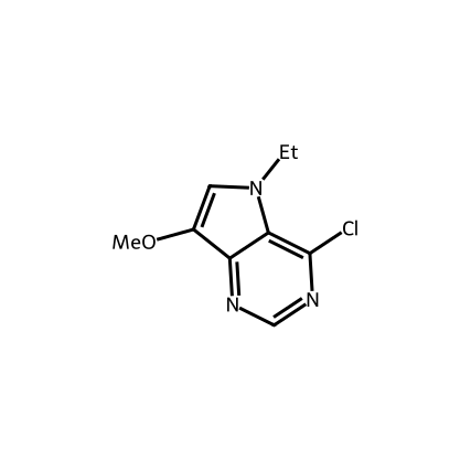 CCn1cc(OC)c2ncnc(Cl)c21